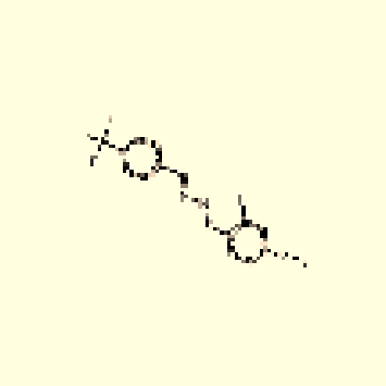 Cc1ccc(C=NN=Cc2ccc(C(F)(F)F)cc2)c(F)c1